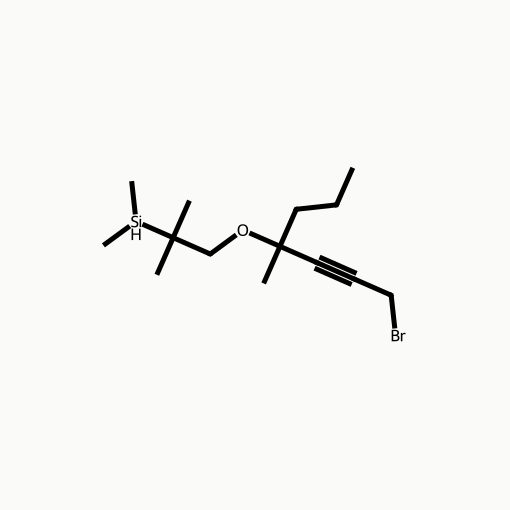 CCCC(C)(C#CCBr)OCC(C)(C)[SiH](C)C